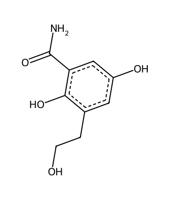 NC(=O)c1cc(O)cc(CCO)c1O